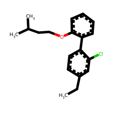 CCc1ccc(-c2ccccc2OCCC(C)C)c(Cl)c1